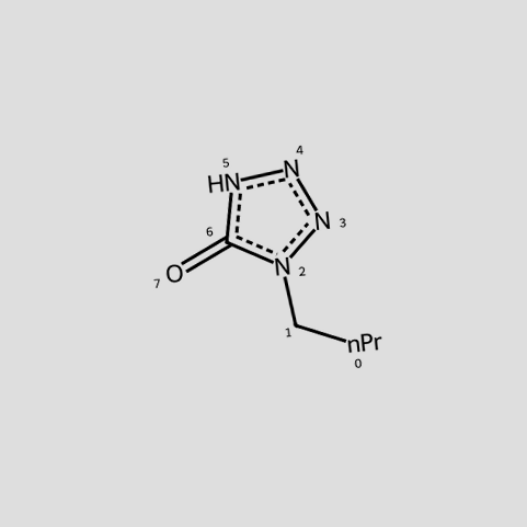 CCCCn1nn[nH]c1=O